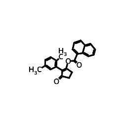 Cc1ccc(C)c(C2=C(OC(=O)c3cccc4ccccc34)CCC2=O)c1